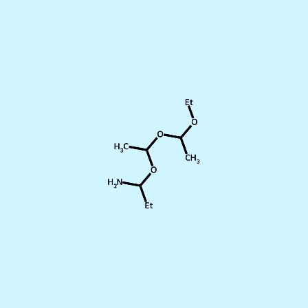 CCOC(C)OC(C)OC(N)CC